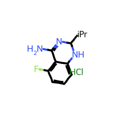 CC(C)C1N=C(N)c2c(F)cccc2N1.Cl